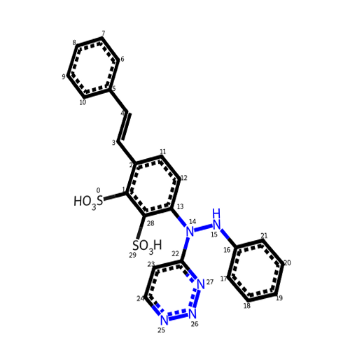 O=S(=O)(O)c1c(C=Cc2ccccc2)ccc(N(Nc2ccccc2)c2ccnnn2)c1S(=O)(=O)O